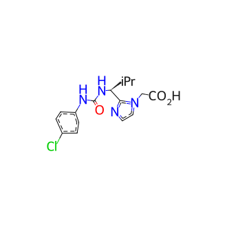 CC(C)[C@H](NC(=O)Nc1ccc(Cl)cc1)c1nccn1CC(=O)O